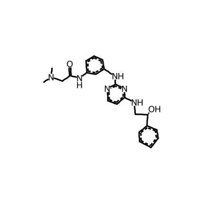 CN(C)CC(=O)Nc1cccc(Nc2nccc(NC[C@H](O)c3ccccc3)n2)c1